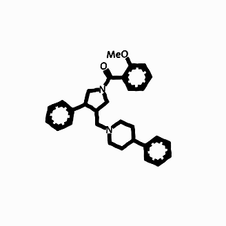 COc1ccccc1C(=O)N1CC(CN2CCC(c3ccccc3)CC2)C(c2ccccc2)C1